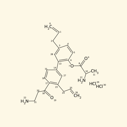 C=CCc1ccc(OC(=O)C(C)N)c(-c2ccc(C(=O)CCN)c(CC=C)c2)c1.Cl.Cl